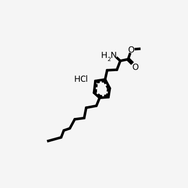 CCCCCCCCc1ccc(CCC(N)C(=O)OC)cc1.Cl